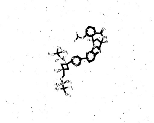 CC(C)(C)[S@@+]([O-])N[C@]1(c2ncc(-c3ccc4nc5n(c4c3)[C@@H]3C[C@@H]5NC(=O)c4cccc(OC(F)F)c43)cn2)C[C@](C)(CO[Si](C)(C)C(C)(C)C)C1